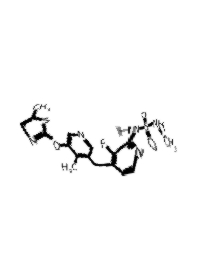 CNS(=O)(=O)Nc1nccc(Cc2cncc(Oc3ncc(C)s3)c2C)c1F